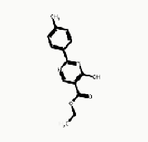 CCOC(=O)c1cnc(-c2ccc(C)cc2)nc1O